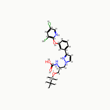 CC(C)(C)[Si](C)(C)OC[C@H](Cn1ccc(-c2cccc(Oc3ncc(Cl)cc3F)c2)n1)NC(=O)O